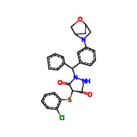 O=C1NN(C(c2ccccc2)c2cccc(N3CC4CC3CO4)c2)C(=O)C1Sc1ccccc1Cl